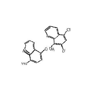 Oc1c(Cl)cc(Cl)c2cccnc12.Oc1ccc(Cl)c2cccnc12